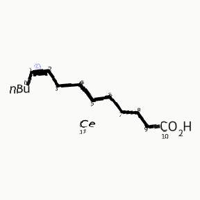 CCCC/C=C\CCCCCCCC(=O)O.[Ce]